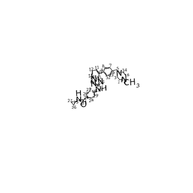 CN1CCN(Cc2ccc(-c3cccn4nc(Nc5ccc(C(=O)NC6CC6)cc5)nc34)cc2)CC1